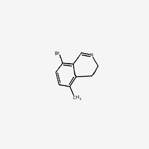 Cc1ccc(Br)c2c1CCN=C2